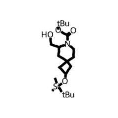 CC(C)(C)OC(=O)N1CCC2(CC(O[Si](C)(C)C(C)(C)C)C2)CC1CO